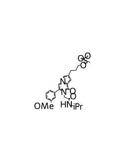 COc1cccc(-c2cn3cc(CCCOS(C)(=O)=O)cc3c(=O)n2CC(=O)NC(C)C)c1